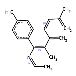 C=C(C)/C=C\C(=C)/C(C)=C(/N=C\C)c1ccc(C)cc1